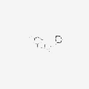 C[C@@]1(F)[C@H](O)[C@@H](Cc2cc[c]cc2)O[C@H]1n1ccc(N)nc1=O